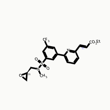 CCOC(=O)/C=C/c1cccc(-c2cc(C(F)(F)F)cc(S(=O)(=O)N(C)C[C@H]3CO3)c2)n1